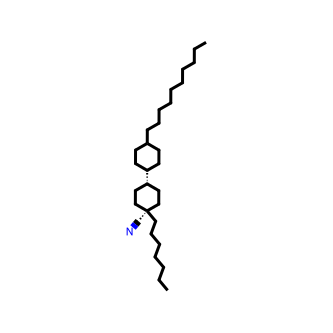 CCCCCCCCCCC1CCC([C@H]2CC[C@](C#N)(CCCCCCC)CC2)CC1